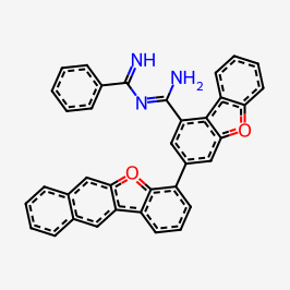 N=C(/N=C(\N)c1cc(-c2cccc3c2oc2cc4ccccc4cc23)cc2oc3ccccc3c12)c1ccccc1